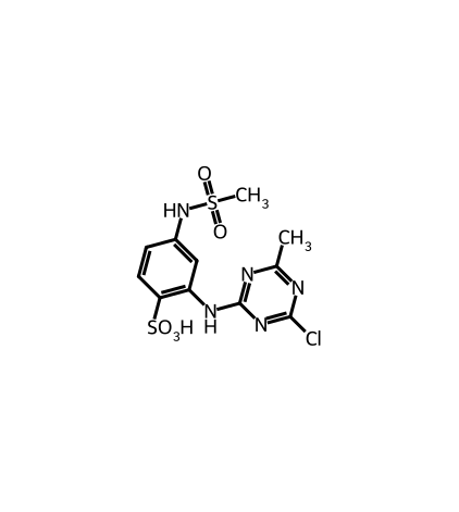 Cc1nc(Cl)nc(Nc2cc(NS(C)(=O)=O)ccc2S(=O)(=O)O)n1